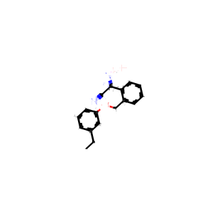 CCc1cccc(OCc2ccccc2/C(C#N)=N\O)c1